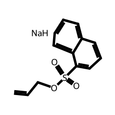 C=CCOS(=O)(=O)c1cccc2ccccc12.[NaH]